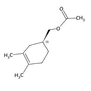 CC(=O)OC[C@H]1CCC(C)=C(C)C1